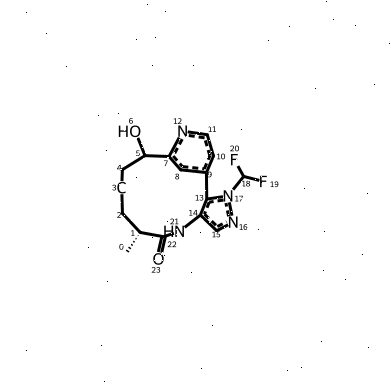 C[C@@H]1CCCC(O)c2cc(ccn2)-c2c(cnn2C(F)F)NC1=O